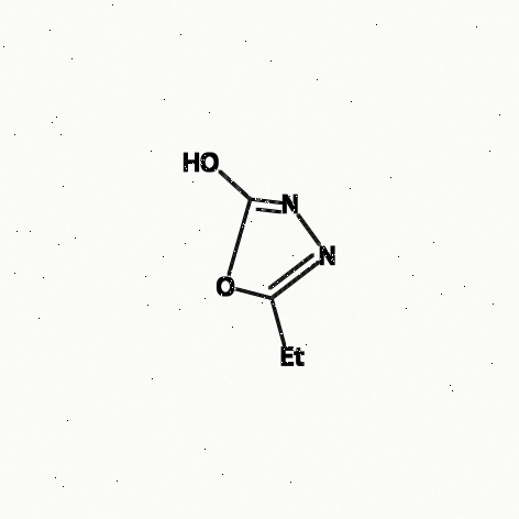 [CH2]Cc1nnc(O)o1